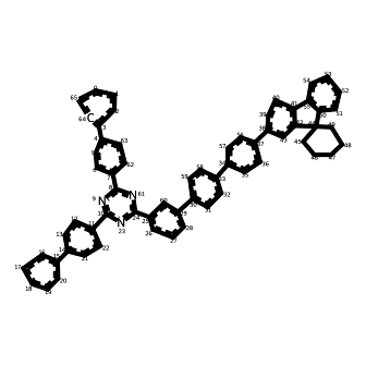 c1ccc(-c2ccc(-c3nc(-c4ccc(-c5ccccc5)cc4)nc(-c4cccc(-c5ccc(-c6ccc(-c7ccc8c(c7)C7(CCCCC7)c7ccccc7-8)cc6)cc5)c4)n3)cc2)cc1